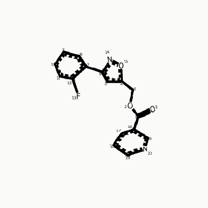 O=C(OCc1cc(-c2ccccc2F)no1)c1cccnc1